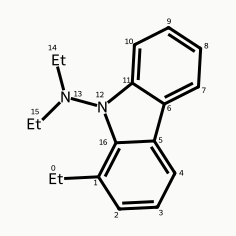 CCc1cccc2c3ccccc3n(N(CC)CC)c12